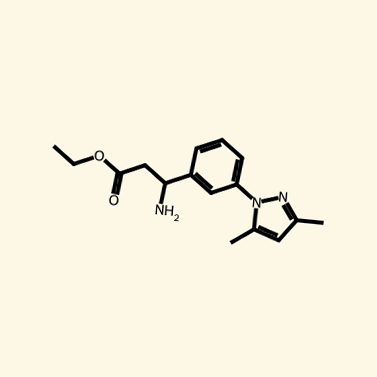 CCOC(=O)CC(N)c1cccc(-n2nc(C)cc2C)c1